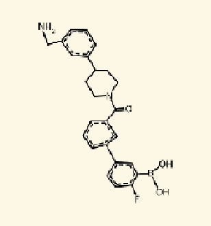 NCc1cccc(C2CCN(C(=O)c3cccc(-c4ccc(F)c(B(O)O)c4)c3)CC2)c1